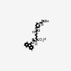 CC(C)(C)OC(=O)CN1CCC(OC(=O)NCCCC[C@@H](NC(=O)OCC2c3ccccc3-c3ccccc32)C(=O)O)CC1